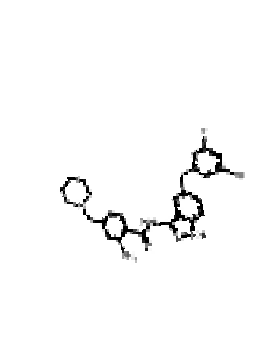 Nc1cc(CN2CCCCC2)ccc1C(=O)Nc1n[nH]c2ccc(Cc3cc(F)cc(F)c3)cc12